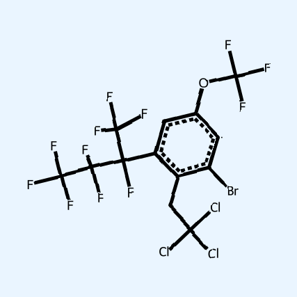 FC(F)(F)Oc1[c]c(Br)c(CC(Cl)(Cl)Cl)c(C(F)(C(F)(F)F)C(F)(F)C(F)(F)F)c1